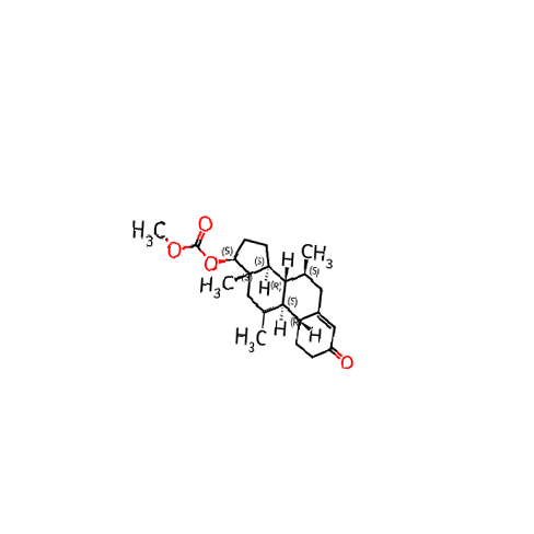 COC(=O)O[C@H]1CC[C@H]2[C@H]3[C@H](C(C)C[C@]12C)[C@H]1CCC(=O)C=C1C[C@@H]3C